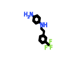 Nc1ccc(NCCc2cccc(C(F)(F)F)c2)cc1